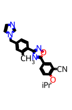 Cc1cc(Cn2ccnc2)ccc1-c1noc(-c2ccc(OC(C)C)c(C#N)c2)n1